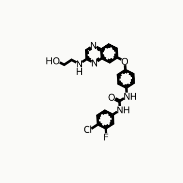 O=C(Nc1ccc(Oc2ccc3ncc(NCCO)nc3c2)cc1)Nc1ccc(Cl)c(F)c1